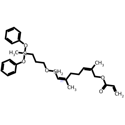 C=CC(=O)OCC(C)=CCC/C(C)=C\[SiH2]OCCC[Si](C)(Oc1ccccc1)Oc1ccccc1